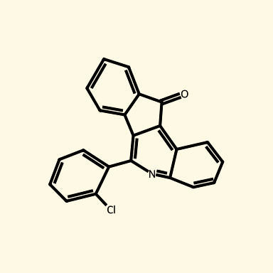 O=C1c2ccccc2-c2c(-c3ccccc3Cl)nc3ccccc3c21